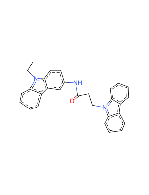 CCn1c2ccccc2c2cc(NC(=O)CCn3c4ccccc4c4ccccc43)ccc21